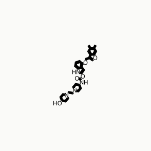 Cc1cc2occ(COc3cccc4[nH]c(OC(=O)NC5CCN(CCN6CCC(O)CC6)CC5)cc34)c2cc1C